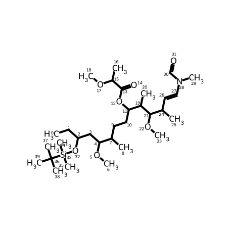 CCC(CC(OC)C(C)CCC(OC(=O)C(C)OC)C(C)C(OC)C(C)C=CN(C)C=O)O[Si](C)(C)C(C)(C)C